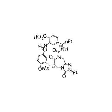 CCC[C@@H](NC(=O)N1Cc2nn(CC)c(=O)n2C[C@H](Cc2cc(Cl)ccc2OC)C1=O)c1ccc(C(=O)O)c(N)c1